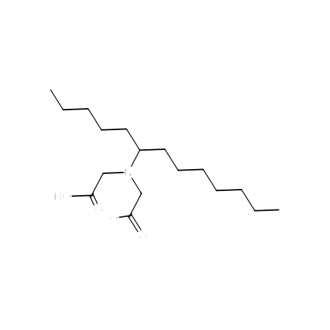 CCCCCCCC(CCCCC)N(CC(=O)O)CC(=O)O